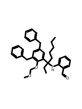 CCCCCC(CC)(Pc1ccccc1C=O)c1cc(Cc2ccccc2)cc(Cc2ccccc2)c1OCOC